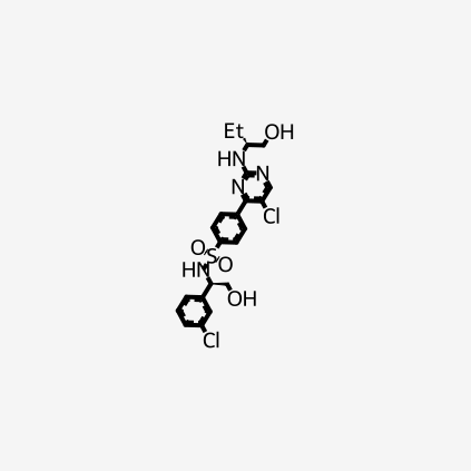 CC[C@H](CO)Nc1ncc(Cl)c(-c2ccc(S(=O)(=O)N[C@@H](CO)c3cccc(Cl)c3)cc2)n1